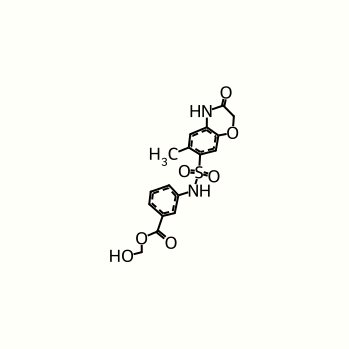 Cc1cc2c(cc1S(=O)(=O)Nc1cccc(C(=O)OCO)c1)OCC(=O)N2